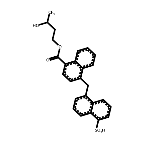 O=C(OCCC(O)C(F)(F)F)c1ccc(Cc2cccc3c(S(=O)(=O)O)cccc23)c2ccccc12